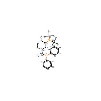 CC[C@H](C[C@H](CC)P(C(C)(C)C)C(C)(C)C)[C@@H](C)P(c1ccccc1)c1ccccc1